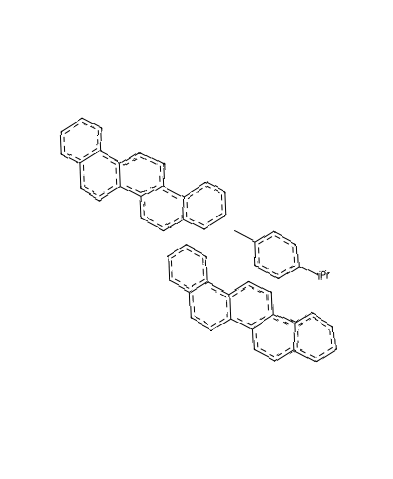 Cc1ccc(C(C)C)cc1.c1ccc2c(c1)ccc1c2ccc2c3ccccc3ccc21.c1ccc2c(c1)ccc1c2ccc2c3ccccc3ccc21